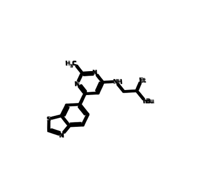 CCCCC(CC)CNc1cc(-c2ccc3ncsc3c2)nc(C)n1